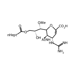 CCCCCCCC(=O)OC[C@@H](O)[C@H](OC)C1OC(C(=O)O)=C[C@H](NC(=N)N)[C@H]1NC(C)=O